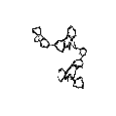 C1=Cc2c(n(-c3ccccc3)c3ccc(-c4cccc(-n5c6ccccc6c6cc(-c7ccc8oc9ccccc9c8c7)ccc65)c4)cc23)CC1